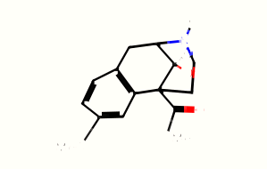 COC(=O)C12CCN(C)C(Cc3ccc(OC)cc31)[C@@]2(C)O